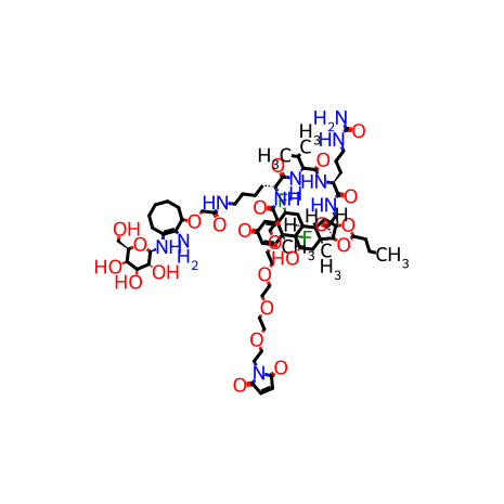 CCCC1O[C@@H]2C[C@H]3[C@@H]4C[C@H](F)C5=CC(=O)C=C[C@]5(C)[C@@]4(F)[C@@H](O)C[C@]3(C)[C@]2(C(=O)CNC(=O)[C@H](CCCNC(N)=O)NC(=O)[C@@H](NC(=O)[C@@H](CCCCNC(=O)COC2CCCCC/C(N[C@@H]3O[C@H](CO)[C@H](O)[C@H](O)[C@H]3O)=C\2N)NC(=O)CCOCCOCCOCCOCCN2C(=O)C=CC2=O)C(C)C)O1